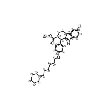 CC(C)COC(=O)N1CCc2c([nH]c3ccc(Cl)cc23)C1c1ccc(OCCCCCCN2CCCCC2)cc1